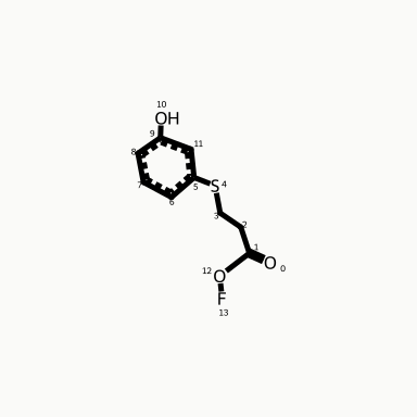 O=C(CCSc1cccc(O)c1)OF